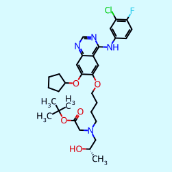 C[C@H](O)CN(CCCCOc1cc2c(Nc3ccc(F)c(Cl)c3)ncnc2cc1OC1CCCC1)CC(=O)OC(C)(C)C